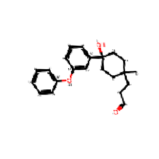 CC1(CCC=O)CCC(O)(c2cccc(Oc3ccccc3)c2)CC1